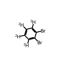 [2H]c1c([2H])c([2H])c(Br)c(Br)c1[2H]